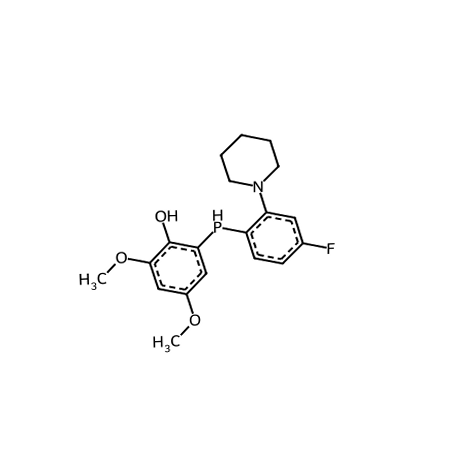 COc1cc(OC)c(O)c(Pc2ccc(F)cc2N2CCCCC2)c1